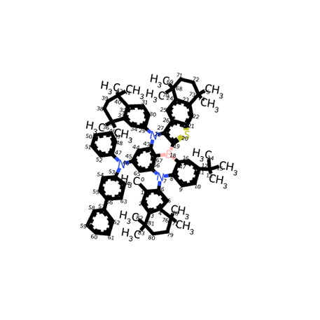 Cc1cc2c(cc1N1c3ccc(C(C)(C)C)cc3B3c4sc5cc6c(cc5c4N(c4ccc5c(c4)C(C)(C)CCC5(C)C)c4cc(N(c5ccccc5)c5ccc(-c7ccccc7)cc5)cc1c43)C(C)(C)CCC6(C)C)C(C)(C)CCC2(C)C